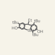 CCC(c1cc(C(C)(C)C)c(O)cc1C(C)(C)C)c1cc(C(C)(C)C)c(O)cc1C(C)(C)C